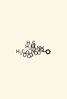 CC[C@H](C)[C@H](NC(=O)OCc1ccccc1)C(=O)N[C@H]1CCOC1OC(C)=O